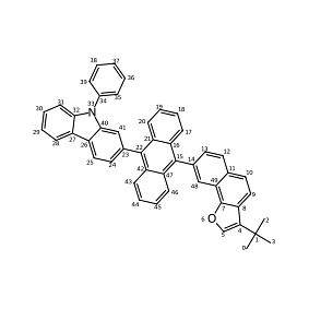 CC(C)(C)c1coc2c1ccc1ccc(-c3c4ccccc4c(-c4ccc5c6ccccc6n(-c6ccccc6)c5c4)c4ccccc34)cc12